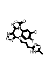 Cc1nnc(CCCOc2nonc2-c2noc(=O)n2-c2ccc(F)c(Cl)c2)[nH]1